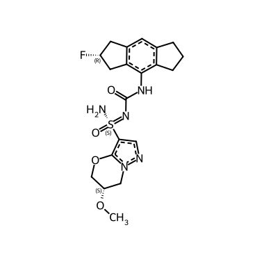 CO[C@@H]1COc2c([S@@](N)(=O)=NC(=O)Nc3c4c(cc5c3C[C@H](F)C5)CCC4)cnn2C1